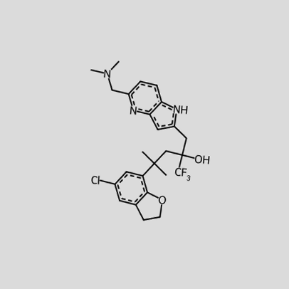 CN(C)Cc1ccc2[nH]c(CC(O)(CC(C)(C)c3cc(Cl)cc4c3OCC4)C(F)(F)F)cc2n1